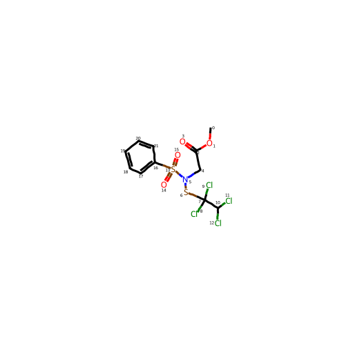 COC(=O)CN(SC(Cl)(Cl)C(Cl)Cl)S(=O)(=O)c1ccccc1